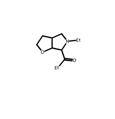 CCC(=O)C1C2OCCC2CN1CC